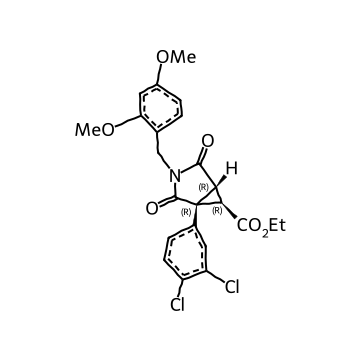 CCOC(=O)[C@@H]1[C@H]2C(=O)N(Cc3ccc(OC)cc3OC)C(=O)[C@@]12c1ccc(Cl)c(Cl)c1